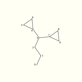 CCCC(C1CC1)C1CC1